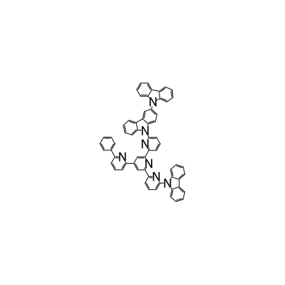 c1ccc(-c2cccc(-c3cc(-c4cccc(-n5c6ccccc6c6ccccc65)n4)nc(-c4cccc(-n5c6ccccc6c6cc(-n7c8ccccc8c8ccccc87)ccc65)n4)c3)n2)cc1